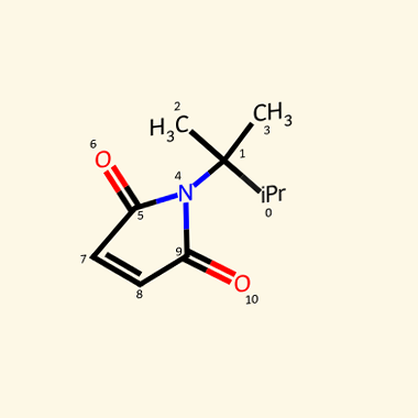 CC(C)C(C)(C)N1C(=O)C=CC1=O